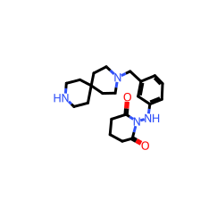 O=C1CCCC(=O)N1Nc1cccc(CN2CCC3(CCNCC3)CC2)c1